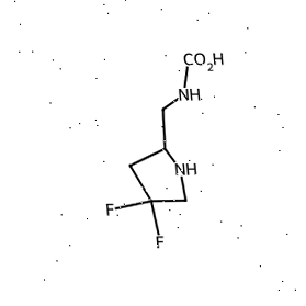 O=C(O)NCC1CC(F)(F)CN1